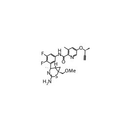 C#C[C@H](C)Oc1cnc(C(=O)Nc2cc(F)c(F)c([C@]3(C)N=C(N)S[C@@]4(COC)C[C@H]43)c2)c(C)c1